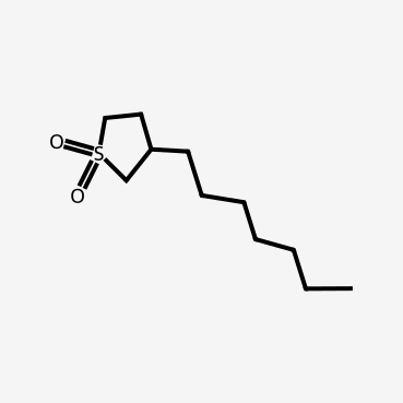 CCCCCCCC1CCS(=O)(=O)C1